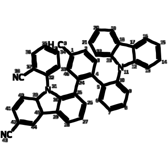 Cc1ccc(-c2ccccc2-n2c3ccccc3c3ccccc32)c(-c2cccc3c2N(c2ccccc2C#N)C2C=CC(C#N)=CC32)c1